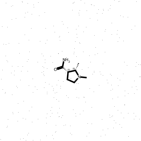 C[C@H]1[C@@H](C(N)=O)CCN1C